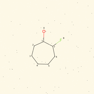 [O]C1CCCCCC1F